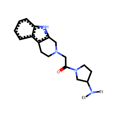 CCN(CC)C1CCN(C(=O)CN2CCc3c([nH]c4ccccc34)C2)C1